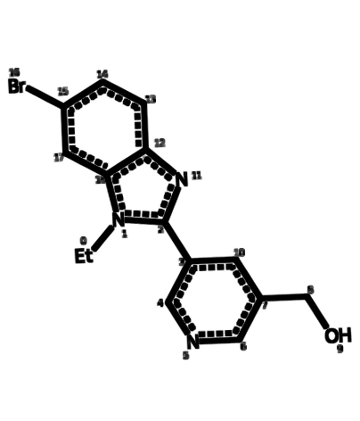 CCn1c(-c2cncc(CO)c2)nc2ccc(Br)cc21